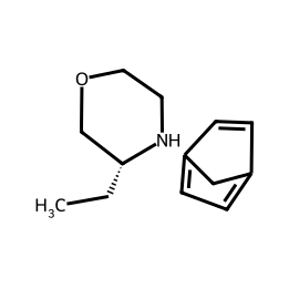 C1=CC2=CC=C1C2.CC[C@@H]1COCCN1